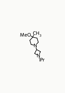 COC1(C)CCN(C2CN(C(C)C)C2)CC1